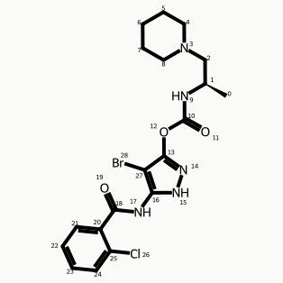 C[C@H](CN1CCCCC1)NC(=O)Oc1n[nH]c(NC(=O)c2ccccc2Cl)c1Br